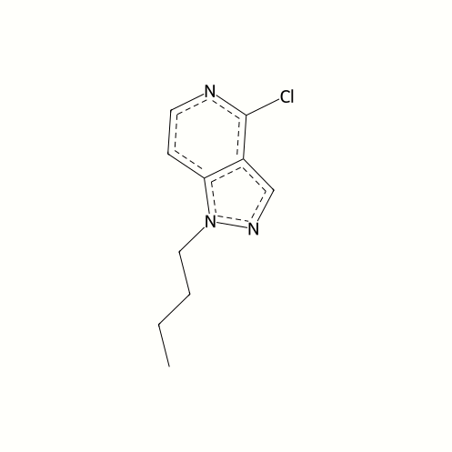 CCCCn1ncc2c(Cl)nccc21